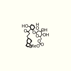 COC(=O)OC[C@H]1O[C@@H](Oc2cccc(O)c2C(=O)CCc2ccc3occc3c2)[C@H](O)[C@@H](O)[C@@H]1O